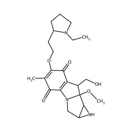 CCN1CCCC1CCOC1=C(C)C(=O)C2=C(C1=O)C(CO)C1(OC)C3NC3CN21